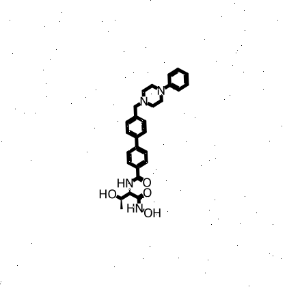 C[C@@H](O)[C@H](NC(=O)c1ccc(-c2ccc(CN3CCN(c4ccccc4)CC3)cc2)cc1)C(=O)NO